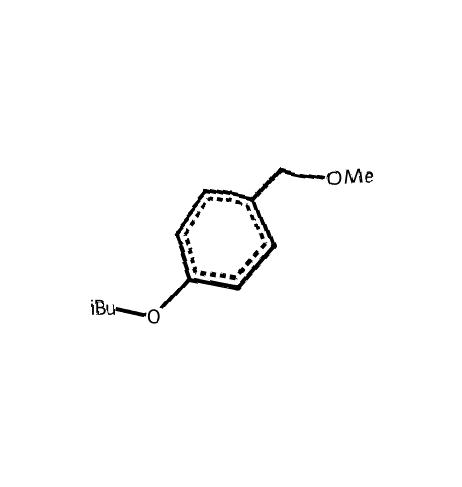 CCC(C)Oc1ccc(COC)cc1